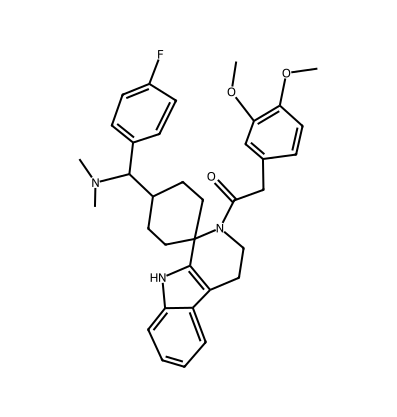 COc1ccc(CC(=O)N2CCc3c([nH]c4ccccc34)C23CCC(C(c2ccc(F)cc2)N(C)C)CC3)cc1OC